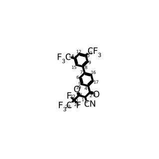 N#CC(C(=O)c1ccc(-c2cc(C(F)(F)F)cc(C(F)(F)F)c2)cc1)C(=O)C(F)(F)C(F)(F)F